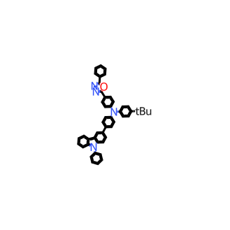 CC(C)(C)c1ccc(N(c2ccc(-c3ccc4c(c3)c3ccccc3n4-c3ccccc3)cc2)c2ccc(-c3nnc(-c4ccccc4)o3)cc2)cc1